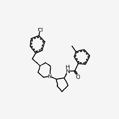 Cc1cccc(C(=O)NC2CCCC2N2CCC(Cc3ccc(Cl)cc3)CC2)c1